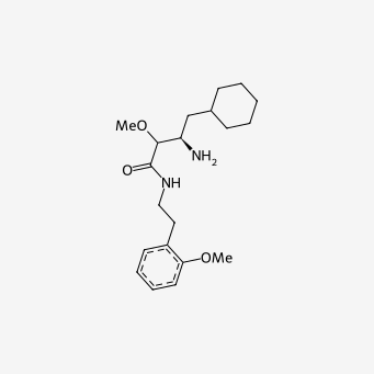 COc1ccccc1CCNC(=O)C(OC)[C@H](N)CC1CCCCC1